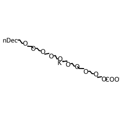 CCCCCCCCCCCCOCCOCCOCCOCCOCCOCCOCCOCCOCCOC(=O)[O-].[K+]